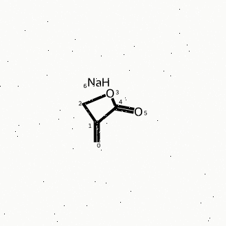 C=C1COC1=O.[NaH]